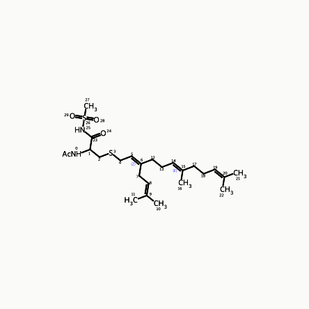 CC(=O)NC(CSC/C=C(\CC=C(C)C)CC/C=C(\C)CCC=C(C)C)C(=O)NS(C)(=O)=O